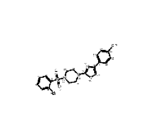 O=S(=O)(c1ccccc1Br)N1CCN(c2nc(-c3ccc(F)cc3)cs2)CC1